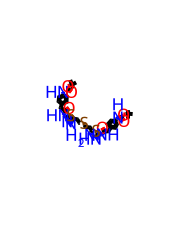 CC(C)(C)OC(=O)Nc1ccc(CC(=O)NC(=N)SC(N)CCSCCc2nnc(NC(=O)Cc3ccc(NC(=O)OC(C)(C)C)cc3)s2)cc1